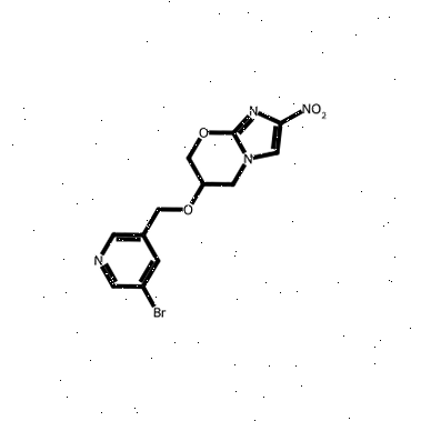 O=[N+]([O-])c1cn2c(n1)OCC(OCc1cncc(Br)c1)C2